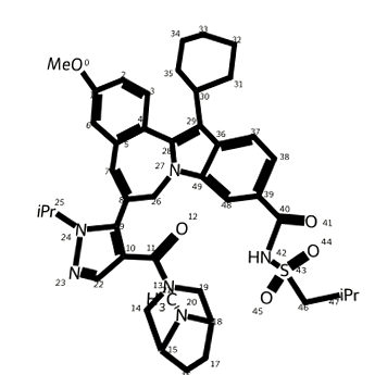 COc1ccc2c(c1)C=C(c1c(C(=O)N3CC4CCC(C3)N4C)cnn1C(C)C)Cn1c-2c(C2CCCCC2)c2ccc(C(=O)NS(=O)(=O)CC(C)C)cc21